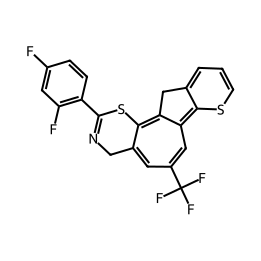 Fc1ccc(C2=NCC3=CC(C(F)(F)F)=CC4=C5SC=CC=C5CC4=C3S2)c(F)c1